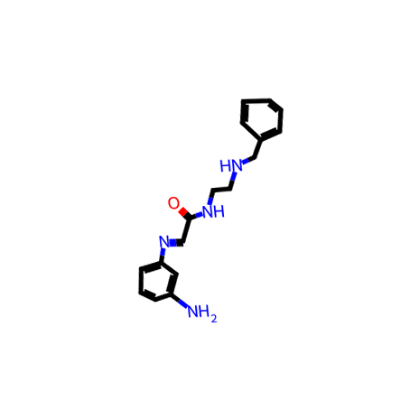 Nc1cccc(N=CC(=O)NCCNCc2ccccc2)c1